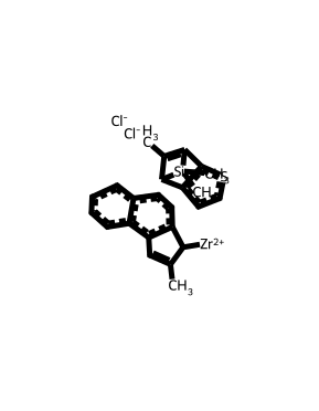 CC1=C2c3sccc3C1[Si]2(C)C.CC1=Cc2c(ccc3ccccc23)[CH]1[Zr+2].[Cl-].[Cl-]